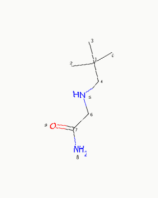 CC(C)(C)CNCC(N)=O